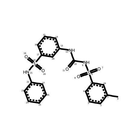 Cc1cccc(S(=O)(=O)NC(=O)Nc2cccc(S(=O)(=O)Nc3ccccc3)c2)c1